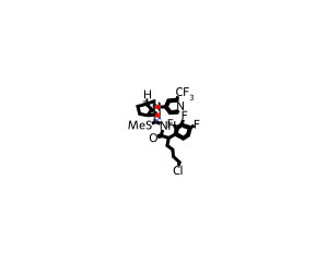 CS/C(=N\[C@@H]1C2CC[C@@H]1CN(c1ccnc(C(F)(F)F)c1)C2)NC(=O)C(CCCCCl)c1ccc(F)c(F)c1F